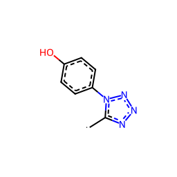 [CH2]c1nnnn1-c1ccc(O)cc1